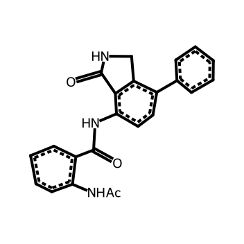 CC(=O)Nc1ccccc1C(=O)Nc1ccc(-c2ccccc2)c2c1C(=O)NC2